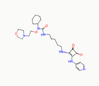 O=C(NCCCCCNc1c(Nc2ccncc2)c(=O)c1=O)N(OCCN1CCOCC1)C1CCCCC1